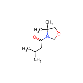 CC(C)CC(=O)N1COCC1(C)C